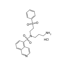 Cl.NCCCN(CCS(=O)(=O)c1ccccc1)S(=O)(=O)c1cccc2cnccc12